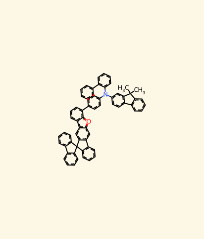 CC1(C)c2ccccc2-c2ccc(N(c3ccc(-c4cccc5c4oc4cc6c(cc45)C4(c5ccccc5-c5ccccc54)c4ccccc4-6)cc3)c3ccccc3-c3ccccc3)cc21